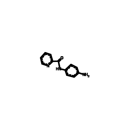 Nc1ccc(NC(=O)c2ccccn2)cc1